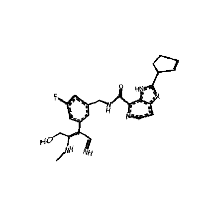 CN/C(CO)=C(\C=N)c1cc(F)cc(CNC(=O)c2nccc3nc(C4CCCC4)[nH]c23)c1